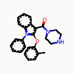 Cc1ccccc1Oc1c(C(=O)N2CCNCC2)c2ccccc2n1-c1ccccc1